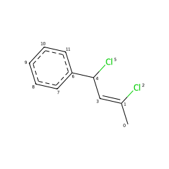 CC(Cl)=CC(Cl)c1ccccc1